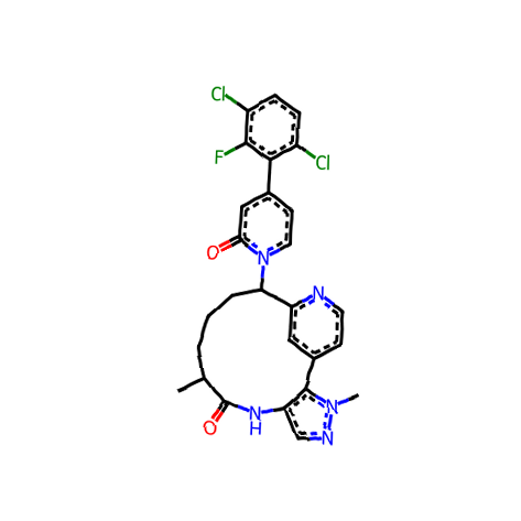 CC1CCCC(n2ccc(-c3c(Cl)ccc(Cl)c3F)cc2=O)c2cc(ccn2)-c2c(cnn2C)NC1=O